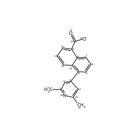 Cc1cc(-c2cccc3c(C(=O)Cl)cccc23)cc(C)n1